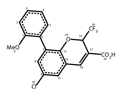 COc1ccccc1-c1cc(Cl)cc2c1OC(C(F)(F)F)C(C(=O)O)=C2